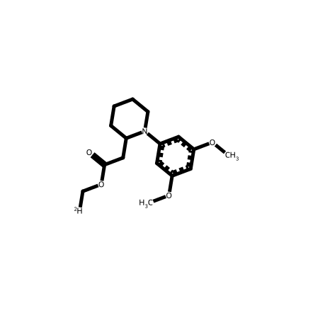 [2H]COC(=O)CC1CCCCN1c1cc(OC)cc(OC)c1